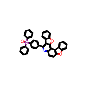 O=P(c1ccccc1)(c1ccccc1)c1ccc(-c2nc3ccc4oc5ccccc5c4c3c3oc4ccccc4c23)cc1